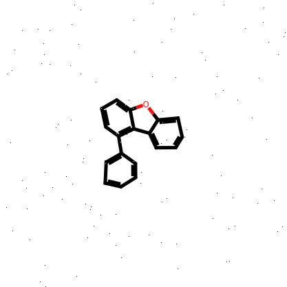 [c]1ccc2c(c1)oc1cccc(-c3ccccc3)c12